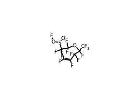 O=S(OF)C(F)(F)C(F)(F)OC(F)(C(F)(F)F)C(F)(F)C(F)=C(F)F